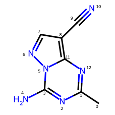 Cc1nc(N)n2ncc(C#N)c2n1